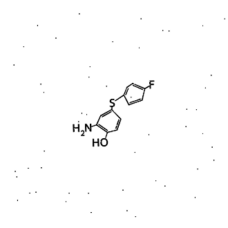 Nc1cc(Sc2ccc(F)cc2)ccc1O